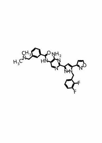 CN(C)Cc1cccc(C(=O)Nc2cnc(-c3cc(-c4ccon4)n(Cc4cccc(F)c4F)n3)nc2N)c1